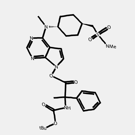 CNS(=O)(=O)C[C@H]1CC[C@H](N(C)c2ncnc3c2ccn3OC(=O)C(C)(NC(=O)OC(C)(C)C)c2ccccc2)CC1